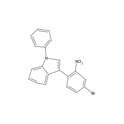 O=[N+]([O-])c1cc(Br)ccc1-c1cn(-c2ccccc2)c2ccccc12